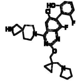 Oc1cccc(F)c1-c1c(Cl)cc2c(N3CCC4(CC3)CNC4)nc(OCC3(CN4CCCC4)CC3)nc2c1F